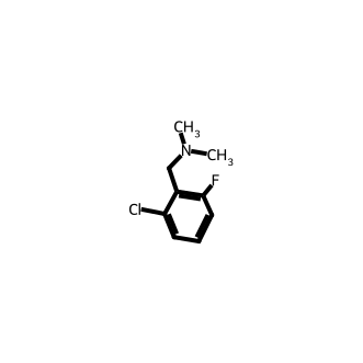 CN(C)Cc1c(F)cccc1Cl